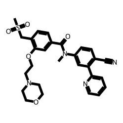 CN(C(=O)c1ccc(CS(C)(=O)=O)c(OCCN2CCOCC2)c1)c1ccc(C#N)c(-c2ccccn2)c1